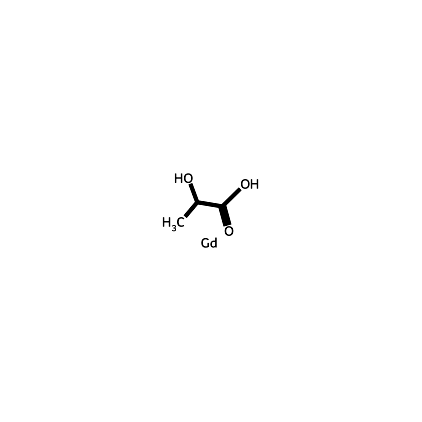 CC(O)C(=O)O.[Gd]